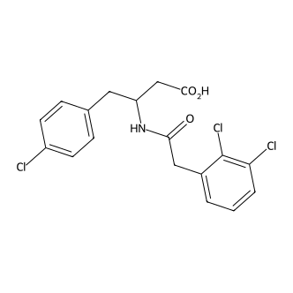 O=C(O)CC(Cc1ccc(Cl)cc1)NC(=O)Cc1cccc(Cl)c1Cl